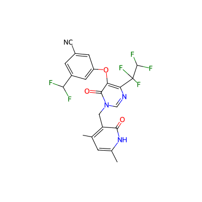 Cc1cc(C)c(Cn2cnc(C(F)(F)C(F)F)c(Oc3cc(C#N)cc(C(F)F)c3)c2=O)c(=O)[nH]1